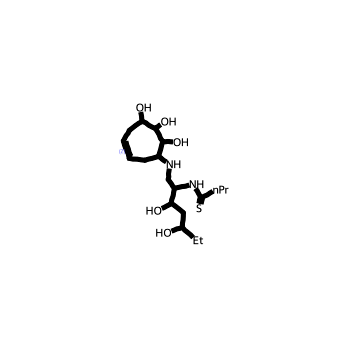 CCCC(=S)NC(CNC1C/C=C\CC(O)C(O)C1O)C(O)CC(O)CC